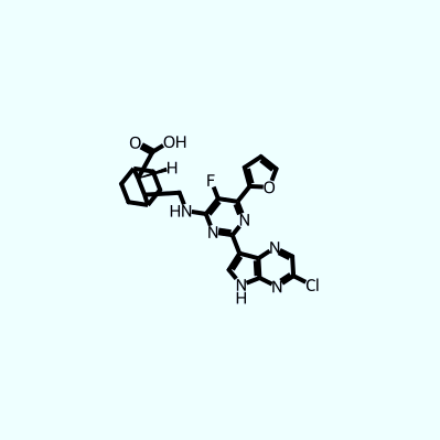 O=C(O)[C@H]1C2CCC(CC2)C1CNc1nc(-c2c[nH]c3nc(Cl)cnc23)nc(-c2ccco2)c1F